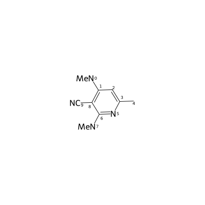 CNc1cc(C)nc(NC)c1C#N